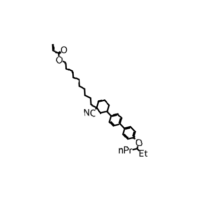 C=CC(=O)OCCCCCCCCCCC1(C#N)CCCC(c2ccc(-c3ccc(OC(CC)CCC)cc3)cc2)C1